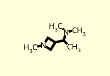 CC(C1CN(C)C1)N(C)C